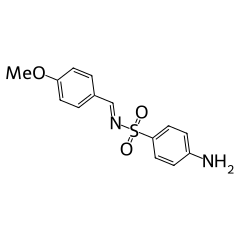 COc1ccc(C=NS(=O)(=O)c2ccc(N)cc2)cc1